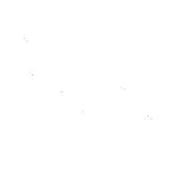 CCOc1cc(CN2CCN(c3ccc(C(=O)NC4CC4)nc3)CC2)cc2[nH]c(=O)c3c(c12)NCCC3